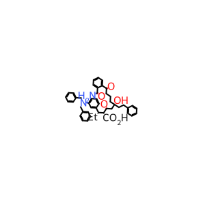 CC[C@H](c1cccc(N(Cc2ccccc2)Cc2ccccc2)c1)[C@H](C(=O)O)C(=O)C[C@@](O)(CCCC(=O)c1ccccc1C(N)=O)CCc1ccccc1